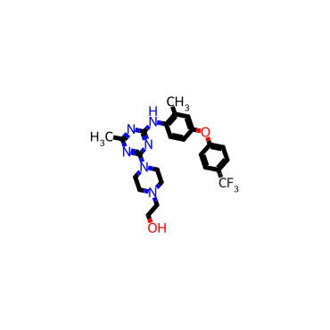 Cc1nc(Nc2ccc(Oc3ccc(C(F)(F)F)cc3)cc2C)nc(N2CCN(CCO)CC2)n1